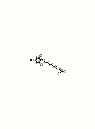 Oc1cc(Cl)c(OCCCCCOCC=C(Cl)Cl)c(Cl)c1